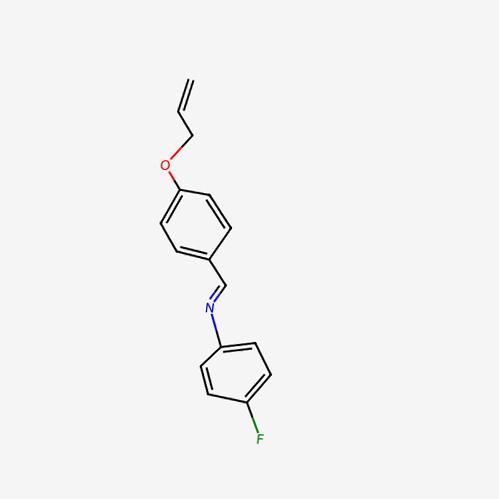 C=CCOc1ccc(C=Nc2ccc(F)cc2)cc1